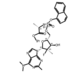 Cc1nc(N(C)C)c2ncn([C@@H]3O[C@H](CO[P@@](=O)(N[C@@H](C)C(=O)OC(C)C)Oc4cccc5ccccc45)[C@@H](O)[C@@]3(C)F)c2n1